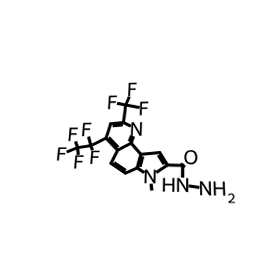 Cn1c(C(=O)NN)cc2c3nc(C(F)(F)F)cc(C(F)(F)C(F)(F)F)c3ccc21